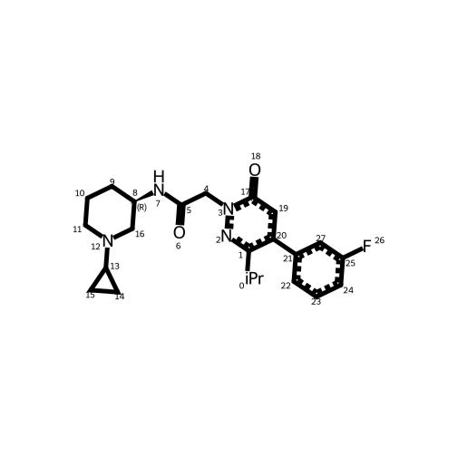 CC(C)c1nn(CC(=O)N[C@@H]2CCCN(C3CC3)C2)c(=O)cc1-c1cccc(F)c1